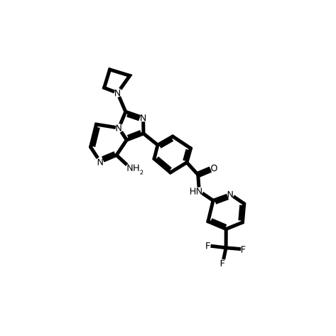 Nc1nccn2c(N3CCC3)nc(-c3ccc(C(=O)Nc4cc(C(F)(F)F)ccn4)cc3)c12